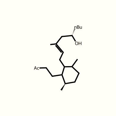 CCCC[C@H](O)C/C(C)=C/CC1C(C)CC[C@@H](C)C1CCC(C)=O